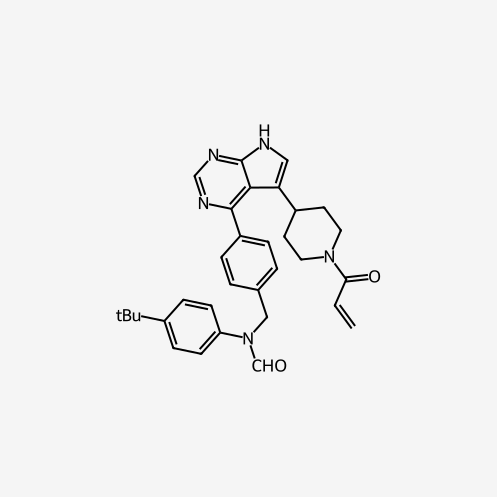 C=CC(=O)N1CCC(c2c[nH]c3ncnc(-c4ccc(CN(C=O)c5ccc(C(C)(C)C)cc5)cc4)c23)CC1